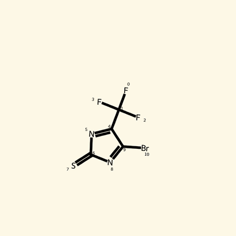 FC(F)(F)C1=NC(=S)N=C1Br